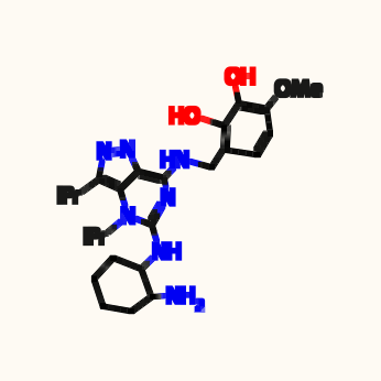 COc1ccc(CNc2nc(NC3CCCCC3N)n(C(C)C)c3c(C(C)C)nnc2-3)c(O)c1O